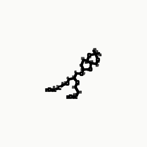 CCCCCCCCCCCCOCC(COC1CCC2OC(C)(C)OCC2O1)OCCCCCCCCCCCC